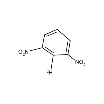 [2H]c1c([N+](=O)[O-])cccc1[N+](=O)[O-]